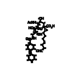 CC(=O)N[C@@H]1C(O)C[C@](OCCCSCCC=O)(C(=O)O)O[C@H]1[C@H](O)[C@H](O)CNC(=O)c1ccc(-c2ccccc2)cc1